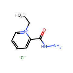 NNC(=O)c1cccc[n+]1CC(=O)O.[Cl-]